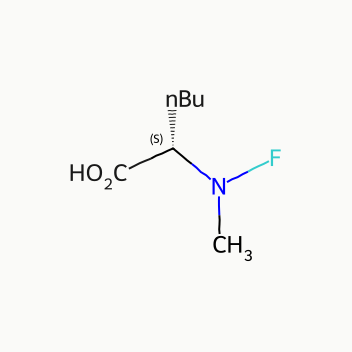 CCCC[C@@H](C(=O)O)N(C)F